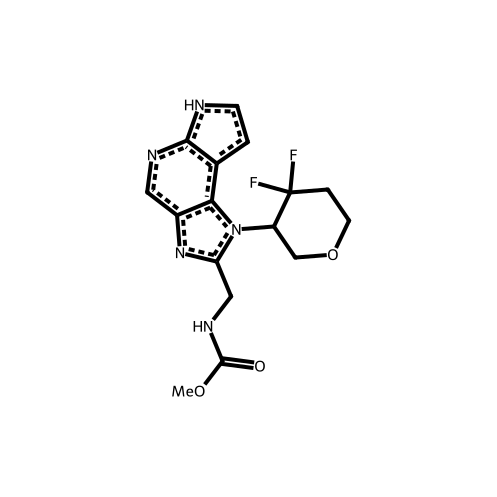 COC(=O)NCc1nc2cnc3[nH]ccc3c2n1C1COCCC1(F)F